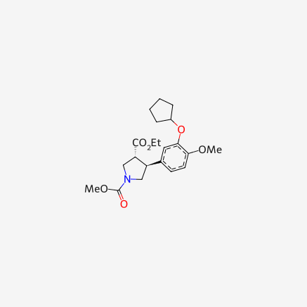 CCOC(=O)[C@H]1CN(C(=O)OC)C[C@@H]1c1ccc(OC)c(OC2CCCC2)c1